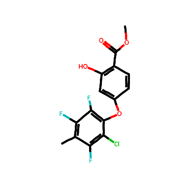 COC(=O)c1ccc(Oc2c(F)c(F)c(C)c(F)c2Cl)cc1O